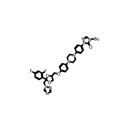 CCC(C)n1cnn(-c2ccc(N3CCN(c4ccc(OCC5COC(Cn6cncn6)(c6ccc(F)cc6F)O5)cc4)CC3)cc2)c1=O